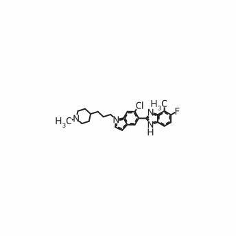 Cc1c(F)ccc2[nH]c(-c3cc4ccn(CCCC5CCN(C)CC5)c4cc3Cl)nc12